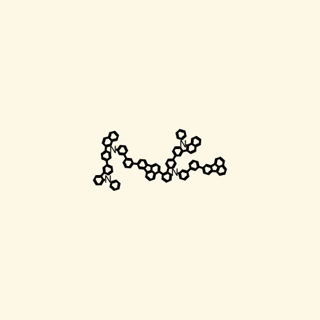 c1ccc(-n2c3ccccc3c3cc(-c4ccc5c6ccc7ccccc7c6n(-c6cccc(-c7cccc(-c8ccc9c(c8)-c8cccc%10c(-c%11cccc%12c%11c%11ccc(-c%13ccc%14c(c%13)c%13ccc%15ccccc%15c%13n%14-c%13ccccc%13)cc%11n%12-c%11cccc(-c%12cccc(-c%13ccc%14c(c%13)-c%13cccc%15cccc-%14c%13%15)c%12)c%11)ccc-9c8%10)c7)c6)c5c4)ccc32)cc1